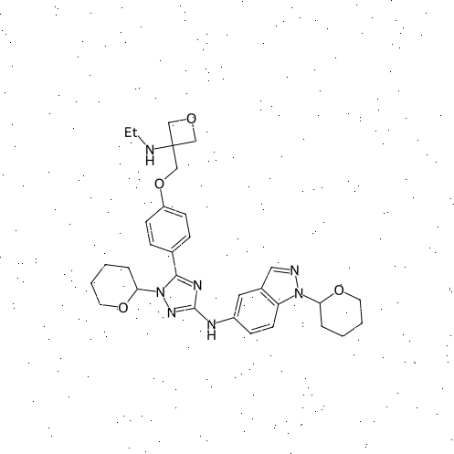 CCNC1(COc2ccc(-c3nc(Nc4ccc5c(cnn5C5CCCCO5)c4)nn3C3CCCCO3)cc2)COC1